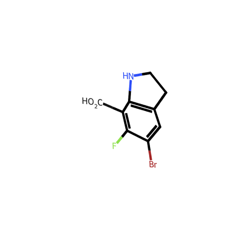 O=C(O)c1c(F)c(Br)cc2c1NCC2